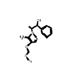 CCOCOc1cnn(C(C)C(O)c2ccccc2)c1N